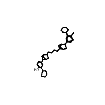 Cc1ccc(C2CC3CC2CC3CCCCC2CC3CC2CC3c2ccc(O)c(C3CCCCC3)c2)cc1C1CCCCC1